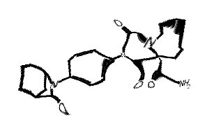 NC(=O)[C@]12[CH]CCCN1C(=O)N(c1ccc(N3C(=O)C4CCC3C4)cc1)C2=O